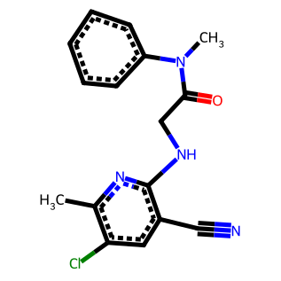 Cc1nc(NCC(=O)N(C)c2ccccc2)c(C#N)cc1Cl